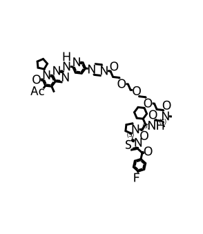 CC(=O)c1c(C)c2cnc(Nc3ccc(N4CCN(C(=O)CCOCCOCCOCCC(=O)N(C)[C@@H](C)C(=O)N[C@H](C(=O)N5CCC[C@H]5c5nc(C(=O)c6ccc(F)cc6)cs5)C5CCCCC5)CC4)cn3)nc2n(C2CCCC2)c1=O